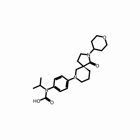 CC(C)N(C(=O)O)c1ccc(N2CCC[C@]3(CCN(C4CCOCC4)C3=O)C2)cc1